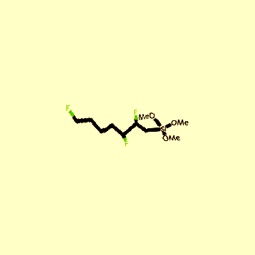 CO[Si](CC(F)C(F)CCCCF)(OC)OC